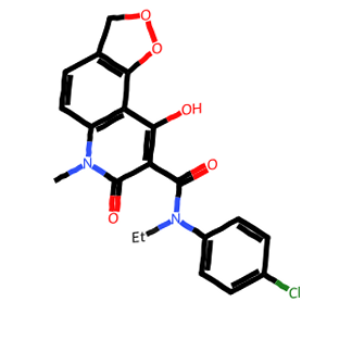 CCN(C(=O)c1c(O)c2c3c(ccc2n(C)c1=O)COO3)c1ccc(Cl)cc1